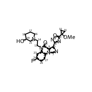 COC1(c2nc(-c3ncn4c3c(=O)n(CCN3CCCC(O)C3)c3cc(F)ccc34)no2)CC1